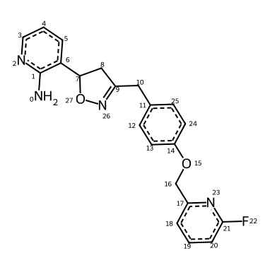 Nc1ncccc1C1CC(Cc2ccc(OCc3cccc(F)n3)cc2)=NO1